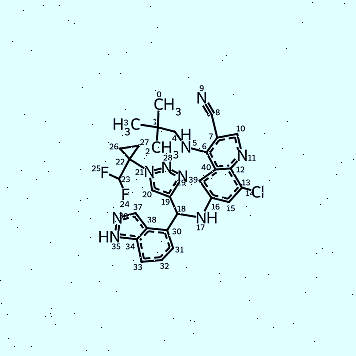 CC(C)(C)CNc1c(C#N)cnc2c(Cl)cc(NC(c3cn(C4(C(F)F)CC4)nn3)c3cccc4[nH]ncc34)cc12